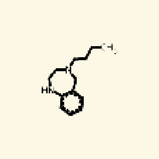 CCCCN1C[CH]Nc2ccccc2C1